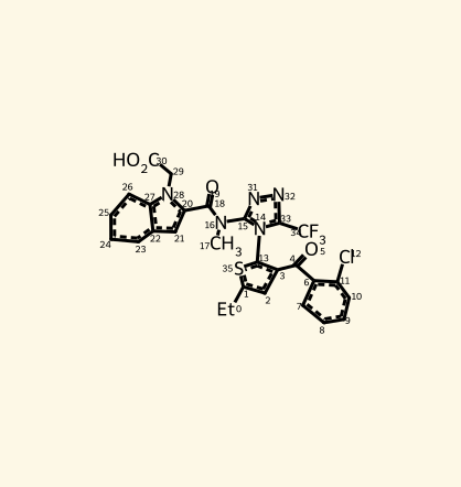 CCc1cc(C(=O)c2ccccc2Cl)c(-n2c(N(C)C(=O)c3cc4ccccc4n3CC(=O)O)nnc2C(F)(F)F)s1